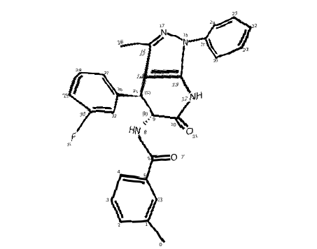 Cc1cccc(C(=O)N[C@H]2C(=O)Nc3c(c(C)nn3-c3ccccc3)[C@@H]2c2cccc(F)c2)c1